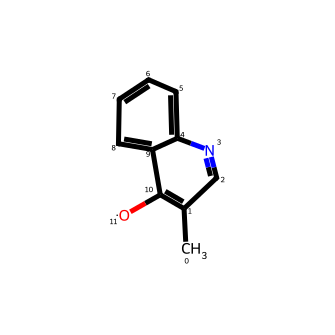 Cc1cnc2ccccc2c1[O]